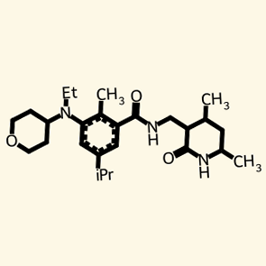 CCN(c1cc(C(C)C)cc(C(=O)NCC2C(=O)NC(C)CC2C)c1C)C1CCOCC1